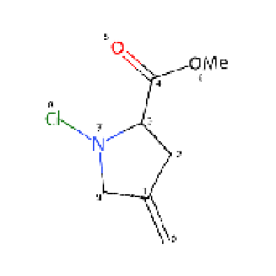 C=C1CC(C(=O)OC)N(Cl)C1